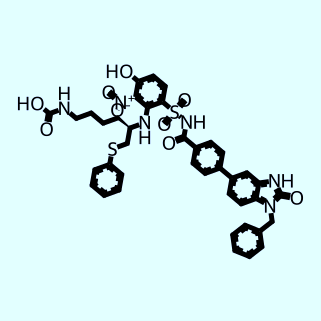 O=C(O)NCCCC[C@H](CSc1ccccc1)Nc1c(S(=O)(=O)NC(=O)c2ccc(-c3ccc4c(c3)[nH]c(=O)n4Cc3ccccc3)cc2)ccc(O)c1[N+](=O)[O-]